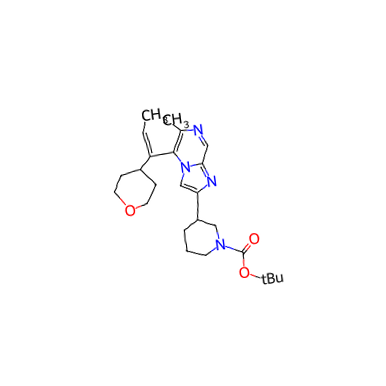 C/C=C(\c1c(C)ncc2nc(C3CCCN(C(=O)OC(C)(C)C)C3)cn12)C1CCOCC1